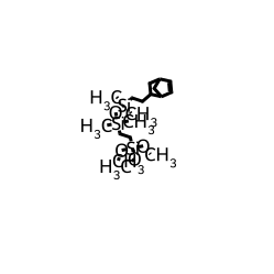 CO[Si](CC[Si](C)(C)O[Si](C)(C)CCC1CC2C=CC1C2)(OC)OC